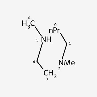 CCCCNC.CCNC